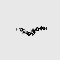 O=C(OC1CCNCC1)N1Cc2ccc(-c3nccc(Nc4ccc(-c5cn[nH]c5)cc4)n3)cc2C1